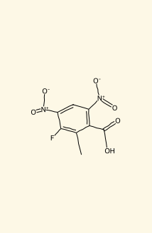 Cc1c(F)c([N+](=O)[O-])cc([N+](=O)[O-])c1C(=O)O